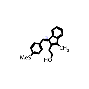 CSc1ccc(/C=C2\C(CCO)=C(C)c3ccccc32)cc1